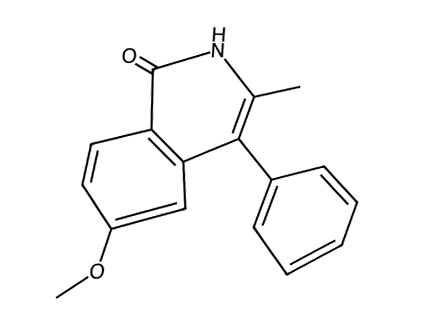 COc1ccc2c(=O)[nH]c(C)c(-c3ccccc3)c2c1